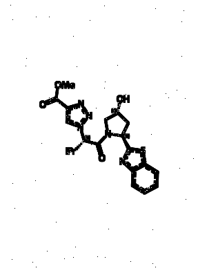 COC(=O)c1cn([C@H](C(=O)N2C[C@H](O)C[C@H]2c2nc3ccccc3s2)C(C)C)nn1